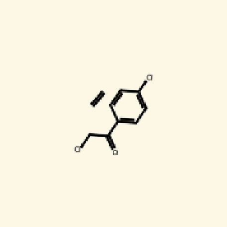 C=C.O=C(CCl)c1ccc(Cl)cc1